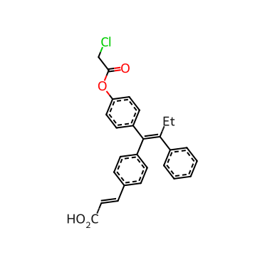 CCC(=C(c1ccc(C=CC(=O)O)cc1)c1ccc(OC(=O)CCl)cc1)c1ccccc1